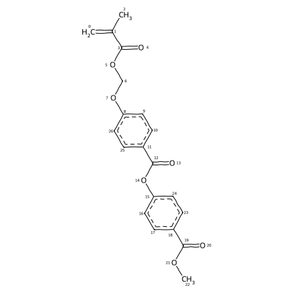 C=C(C)C(=O)OCOc1ccc(C(=O)Oc2ccc(C(=O)OC)cc2)cc1